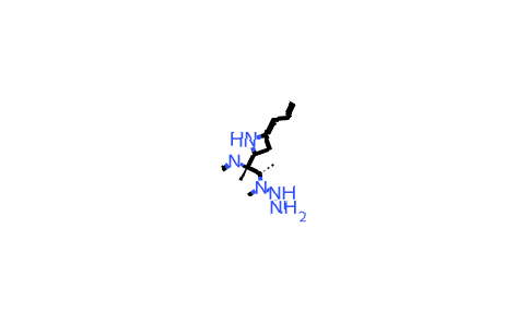 C=C/C=C1\CC([C@@](C)(N=C)[C@H](C)N(C)NN)N1